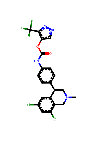 CN1Cc2c(Cl)cc(Cl)cc2C(c2ccc(NC(=O)Oc3c[nH]nc3C(F)(F)F)cc2)C1